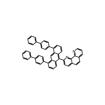 c1ccc(-c2ccc(-c3cccc4c(-c5ccc6ccc7cccnc7c6n5)c5cccc(-c6ccc(-c7ccccc7)cc6)c5cc34)cc2)cc1